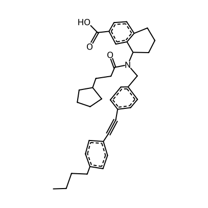 CCCCc1ccc(C#Cc2ccc(CN(C(=O)CCC3CCCC3)C3CCCc4ccc(C(=O)O)cc43)cc2)cc1